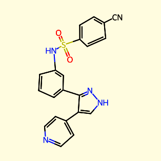 N#Cc1ccc(S(=O)(=O)Nc2cccc(-c3n[nH]cc3-c3ccncc3)c2)cc1